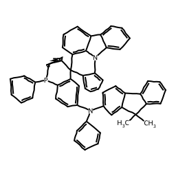 CC1(C)c2ccccc2-c2ccc(N(c3ccccc3)c3ccc4c(c3)C3(c5ccccc5-n5c6ccccc6c6cccc3c65)c3ccccc3P4c3ccccc3)cc21